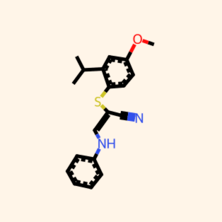 COc1ccc(S/C(C#N)=C/Nc2ccccc2)c(C(C)C)c1